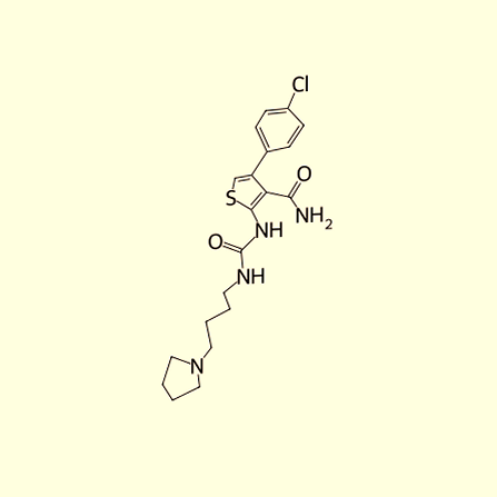 NC(=O)c1c(-c2ccc(Cl)cc2)csc1NC(=O)NCCCCN1CCCC1